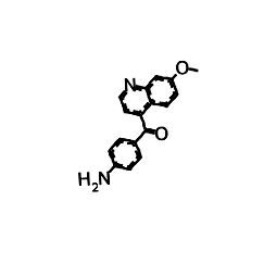 COc1ccc2c(C(=O)c3ccc(N)cc3)ccnc2c1